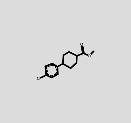 COC(=O)C1CCC(c2ccc(Cl)cc2)CC1